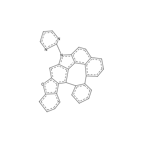 c1cnc(-n2c3cc4oc5ccccc5c4c4c3c3c5c(cccc5ccc32)-c2ccccc2-4)nc1